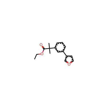 CCOC(=O)C(C)(C)c1cccc(-c2ccoc2)c1